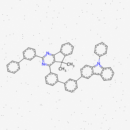 CC1(C)c2ccccc2-c2nc(-c3cccc(-c4ccccc4)c3)nc(-c3cccc(-c4cccc(-c5ccc6c(c5)c5ccccc5n6-c5ccccc5)c4)c3)c21